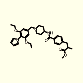 CCOc1cc(CN2CCC(NC(=O)c3ccc(CC(C)C(=O)OC)cc3)CC2)cc(OCC)c1-n1cccc1